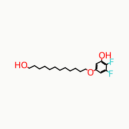 OCCCCCCCCCCCCOc1cc(O)c(F)c(F)c1